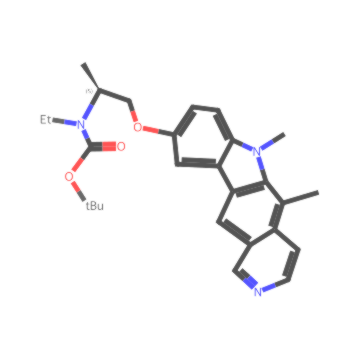 CCN(C(=O)OC(C)(C)C)[C@@H](C)COc1ccc2c(c1)c1cc3cnccc3c(C)c1n2C